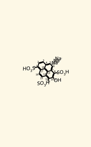 O=S(=O)(O)c1ccc2ccc3c(S(=O)(=O)O)c(O)c(S(=O)(=O)O)c4ccc1c2c34.[Na].[Na].[Na]